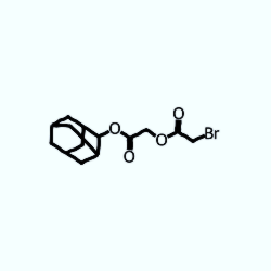 O=C(CBr)OCC(=O)OC1C2CC3CC(C2)CC1C3